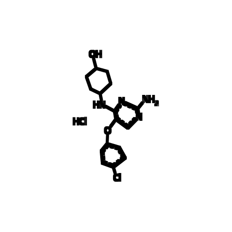 Cl.Nc1ncc(Oc2ccc(Cl)cc2)c(NC2CCC(O)CC2)n1